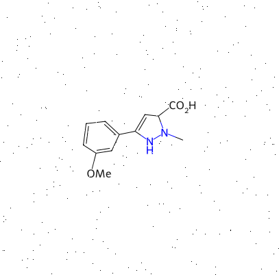 COc1cccc(C2=CC(C(=O)O)N(C)N2)c1